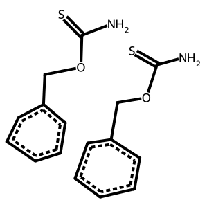 NC(=S)OCc1ccccc1.NC(=S)OCc1ccccc1